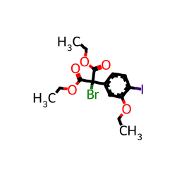 CCOC(=O)C(Br)(C(=O)OCC)c1ccc(I)c(OCC)c1